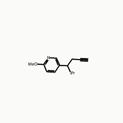 C#CCC(c1ccc(OC)nc1)C(C)C